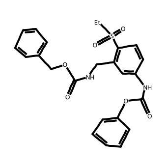 CCS(=O)(=O)c1ccc(NC(=O)Oc2ccccc2)cc1CNC(=O)OCc1ccccc1